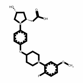 COc1ccc(F)c(N2CCC(Oc3ccc(N4C[C@H](O)C[C@@H]4CC(=O)O)cc3)CC2)c1